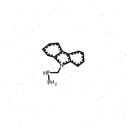 PPCn1c2ccccc2c2ccccc21